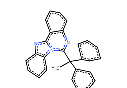 CC(c1ccccc1)(c1ccccc1)c1nc2ccccc2c2nc3ccccc3n12